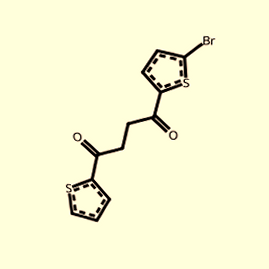 O=C(CCC(=O)c1ccc(Br)s1)c1cccs1